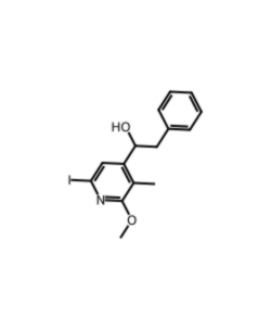 COc1nc(I)cc(C(O)Cc2ccccc2)c1C